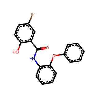 O=C(Nc1ccccc1Oc1ccccc1)c1cc(Br)ccc1O